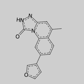 Cc1cc2n[nH]c(=O)n2c2cc(-c3ccoc3)ccc12